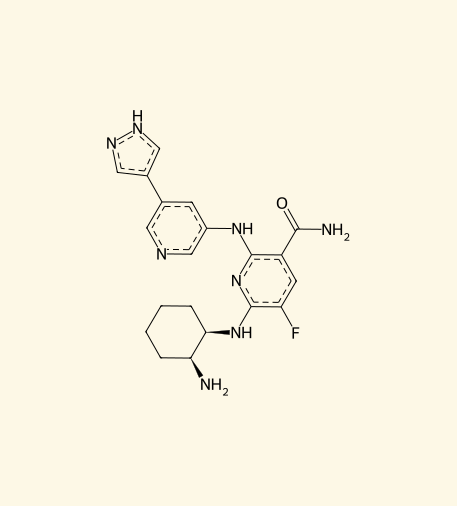 NC(=O)c1cc(F)c(N[C@@H]2CCCC[C@@H]2N)nc1Nc1cncc(-c2cn[nH]c2)c1